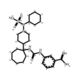 N=C(N)c1cccc(NC(=O)NC2(C3CCN(N(C4CCCCC4)S(=O)(=O)O)CC3)CCCCCC2)c1